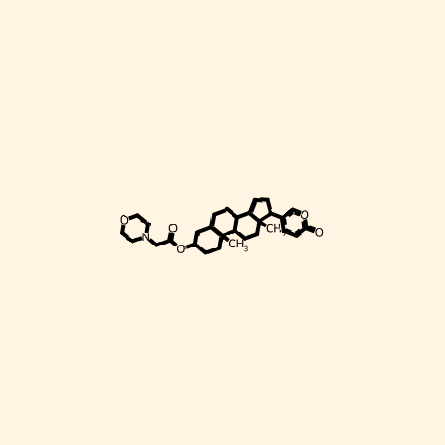 CC12CCC3C(CCC4CC(OC(=O)CN5CCOCC5)CCC43C)C1=CCC2c1ccc(=O)oc1